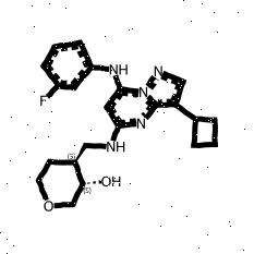 O[C@@H]1COCC[C@H]1CNc1cc(Nc2cccc(F)c2)n2ncc(C3CCC3)c2n1